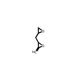 [CH]=C1OC1CC1CO1